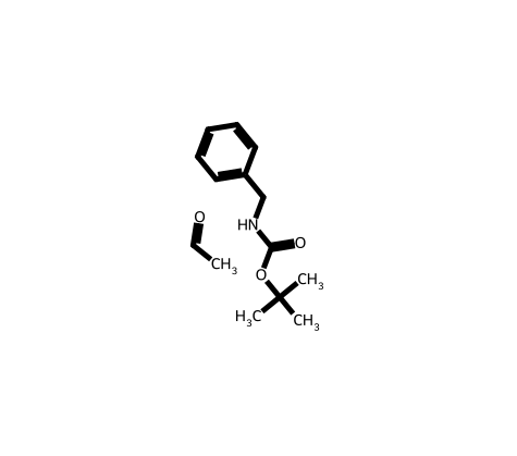 CC(C)(C)OC(=O)NCc1ccccc1.CC=O